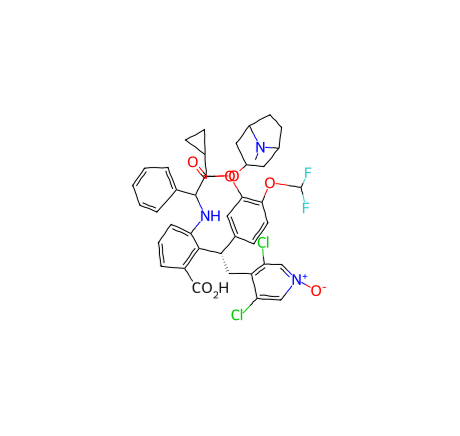 CN1C2CCC1CC(OC(=O)C(Nc1cccc(C(=O)O)c1[C@@H](Cc1c(Cl)c[n+]([O-])cc1Cl)c1ccc(OC(F)F)c(OCC3CC3)c1)c1ccccc1)C2